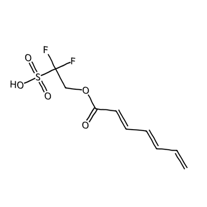 C=C/C=C/C=C/C(=O)OCC(F)(F)S(=O)(=O)O